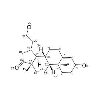 C[C@]12CCC(=O)C=C1CC[C@@H]1[C@H]2CC[C@]2(C)C(=O)CC(CCCl)[C@@H]12